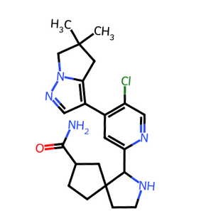 CC1(C)Cc2c(-c3cc(C4NCCC45CCC(C(N)=O)C5)ncc3Cl)cnn2C1